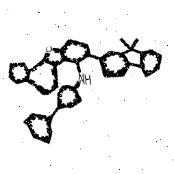 CC1(C)c2ccccc2-c2ccc(-c3ccc4oc5c6ccccc6ccc5c4c3Nc3ccc(-c4ccccc4)cc3)cc21